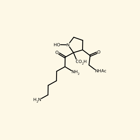 CC(=O)NCC(=O)C1CCN(O)C1(C(=O)O)C(=O)C(N)CCCCN